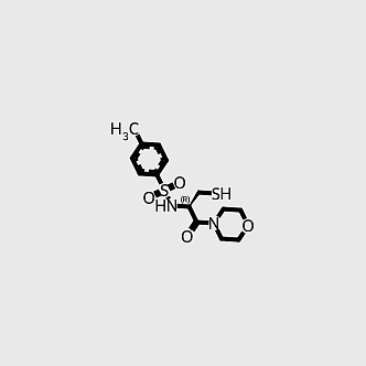 Cc1ccc(S(=O)(=O)N[C@@H](CS)C(=O)N2CCOCC2)cc1